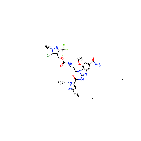 CCn1nc(C)cc1C(=O)Nc1nc2cc(C(N)=O)cc(OC)c2n1CCCNC(=O)OCc1c(C(F)(F)F)nn(C)c1Cl